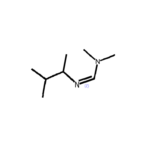 CC(C)C(C)/N=C\N(C)C